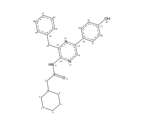 O=C(CC1CCCCC1)Nc1ncc(-c2ccc(O)cc2)nc1Cc1ccccc1